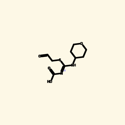 O=CCS/C(=N\C(=O)O)NC1CCOCC1